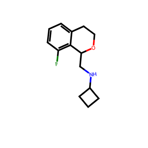 Fc1cccc2c1C(CNC1CCC1)OCC2